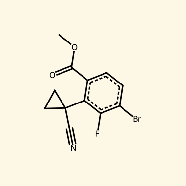 COC(=O)c1ccc(Br)c(F)c1C1(C#N)CC1